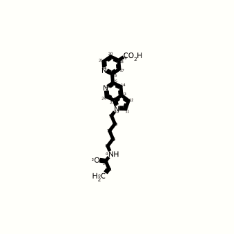 C=CC(=O)NCCCCCn1ccc2cc(-c3cc(C(=O)O)ccn3)ncc21